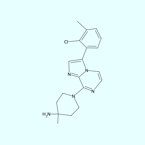 Cc1cccc(-c2cnc3c(N4CCC(C)(N)CC4)nccn23)c1Cl